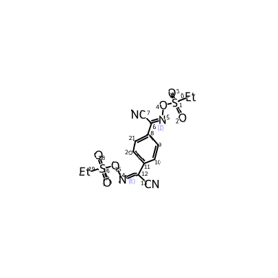 CCS(=O)(=O)O/N=C(\C#N)c1ccc(/C(C#N)=N\OS(=O)(=O)CC)cc1